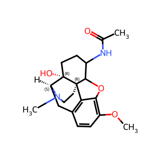 COc1ccc2c3c1OC1C(NC(C)=O)CC[C@]4(O)[C@H](C2)N(C)CC[C@@]314